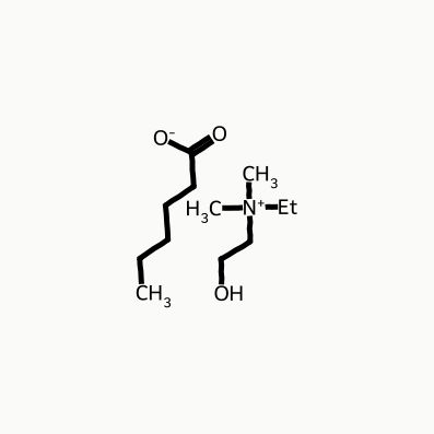 CCCCCC(=O)[O-].CC[N+](C)(C)CCO